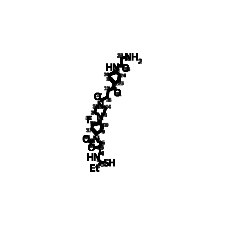 CCC(S)NC[C@@H]1CN(c2ccc(N3CCN(C(=O)CCC(=O)c4ccc(NC(=O)CN)cc4)CC3)c(F)c2)C(=O)O1